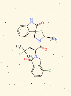 CC(C)(F)C[C@@H](C(=O)N1C[C@]2(C[C@H]1C#N)C(=O)Nc1ccccc12)N1Cc2c(Cl)cccc2C1=O